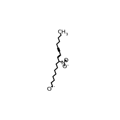 CCCCCC#CC=CC(CCCCCCC[C]=O)[N+](=O)[O-]